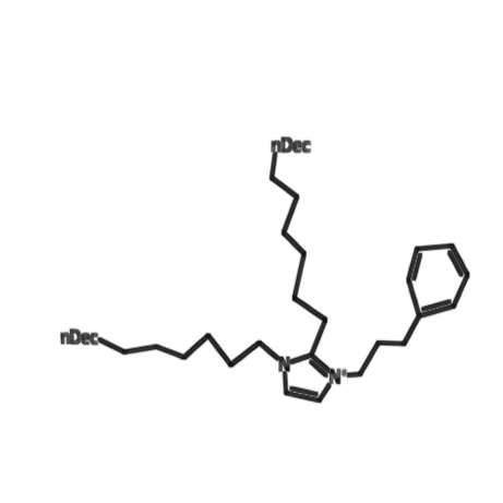 CCCCCCCCCCCCCCCCc1n(CCCCCCCCCCCCCCCC)cc[n+]1CCCc1ccccc1